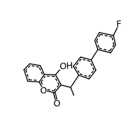 CC(c1ccc(-c2ccc(F)cc2)cc1)c1c(O)c2ccccc2oc1=O